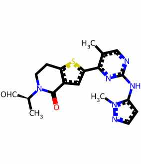 Cc1cnc(Nc2ccnn2C)nc1-c1cc2c(s1)CCN([C@@H](C)C=O)C2=O